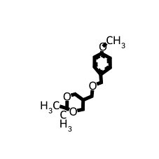 COc1ccc(COCC2COC(C)(C)OC2)cc1